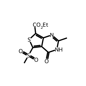 CCOC(=O)c1sc(S(C)(=O)=O)c2c(=O)[nH]c(C)nc12